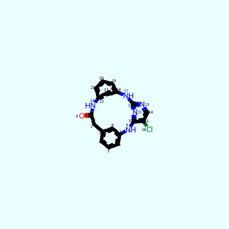 O=C1Cc2cccc(c2)Nc2nc(ncc2Cl)Nc2cccc(c2)N1